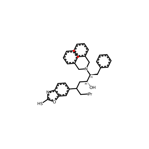 CC(C)CC(C[C@@H](O)[C@H](Cc1ccccc1)N(Cc1ccccc1)Cc1ccccc1)c1ccc2nc(S)oc2c1